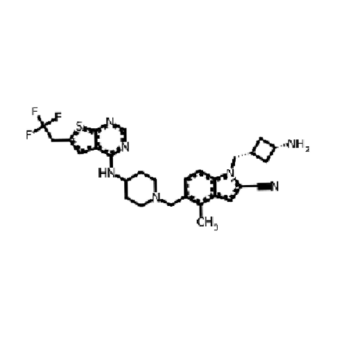 Cc1c(CN2CCC(Nc3ncnc4sc(CC(F)(F)F)cc34)CC2)ccc2c1cc(C#N)n2C[C@H]1C[C@@H](N)C1